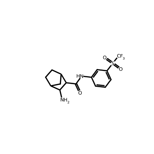 NC1C2CCC(C2)C1C(=O)Nc1cccc(S(=O)(=O)C(F)(F)F)c1